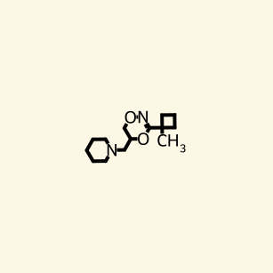 CC1(C2=NOCC(CN3CCCCC3)O2)CCC1